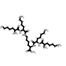 CC(=O)C(CCCCNC(=O)C(CCCCN)NC(=O)C(N)CCCCN)NC(=O)C(CCCCN)NC(=O)C(N)CCCCN